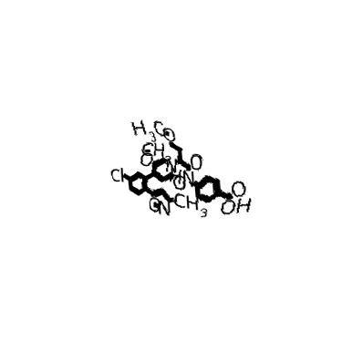 COCCC(C(=O)Nc1ccc(C(=O)O)cc1)n1cc(OC)c(-c2cc(Cl)ccc2-c2cc(C)no2)cc1=O